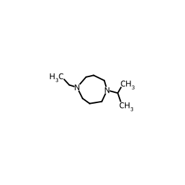 CCN1CCCN(C(C)C)CCC1